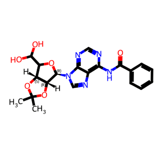 CC1(C)O[C@@H]2[C@H](O1)C(C(O)O)O[C@H]2n1cnc2c(NC(=O)c3ccccc3)ncnc21